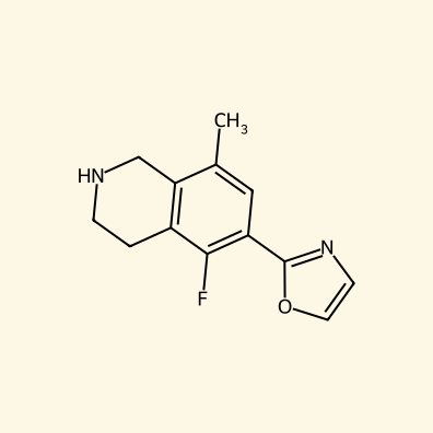 Cc1cc(-c2ncco2)c(F)c2c1CNCC2